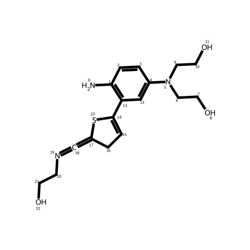 Nc1ccc(N(CCO)CCO)cc1C1=CCC(=C=NCCO)S1